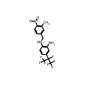 Cc1cc(CNc2ccc(C(F)(C(F)(F)F)C(F)(F)F)cc2N)ccc1[N+](=O)[O-]